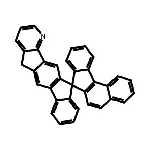 c1cnc2c(c1)Cc1cc3c(cc1-2)C1(c2ccccc2-3)c2ccccc2-c2c1ccc1ccccc21